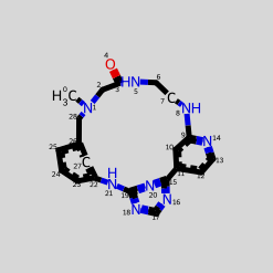 CN1CC(=O)NCCNc2cc(ccn2)-c2ncnc(n2)Nc2cccc(c2)C1